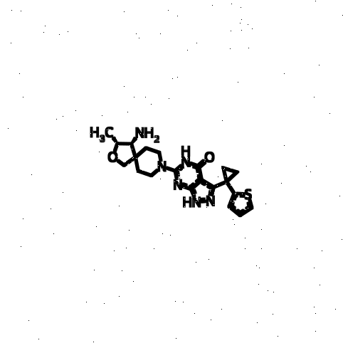 C[C@@H]1OCC2(CCN(c3nc4[nH]nc(C5(c6cccs6)CC5)c4c(=O)[nH]3)CC2)[C@@H]1N